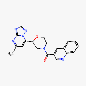 Cc1cc(C2CN(C(=O)c3cnc4ccccc4c3)CCO2)n2ncnc2n1